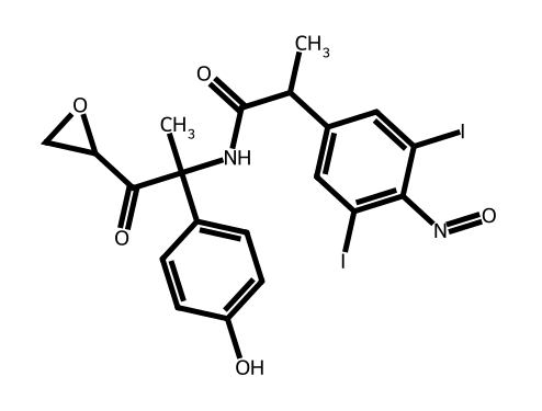 CC(C(=O)NC(C)(C(=O)C1CO1)c1ccc(O)cc1)c1cc(I)c(N=O)c(I)c1